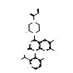 C=CC(=O)N1CCN(c2nc(=O)n(-c3c(C)ccnc3C(C)C)c3nc(Cl)c(F)cc23)[C@@H](C)C1